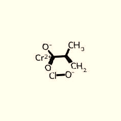 C=C(C)C(=O)[O-].[Cr+2].[O-]Cl